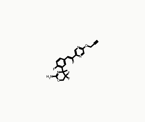 C#CCOc1cnc(C(F)=Cc2ccc(F)c(C3(C)N=C(N)OCC3(F)F)c2)cn1